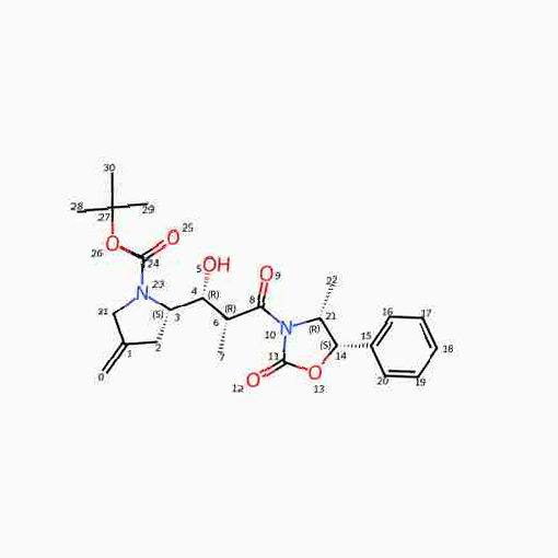 C=C1C[C@@H]([C@H](O)[C@@H](C)C(=O)N2C(=O)O[C@@H](c3ccccc3)[C@H]2C)N(C(=O)OC(C)(C)C)C1